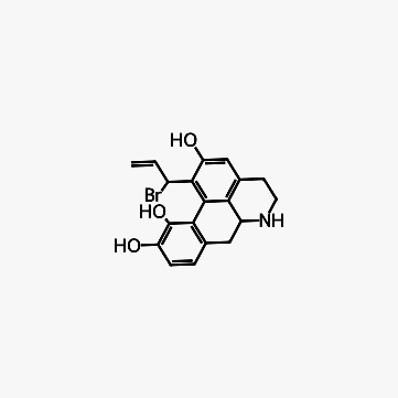 C=CC(Br)c1c(O)cc2c3c1-c1c(ccc(O)c1O)CC3NCC2